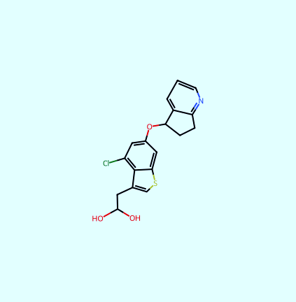 OC(O)Cc1csc2cc(OC3CCc4ncccc43)cc(Cl)c12